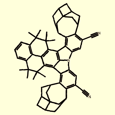 CC1(C)c2cccc3c2-c2c(c4c5c6c(c(C#N)cc5n5c7cc(C#N)c8c(c7c(c2C(C)(C)C3(C)C)c45)C2CC3CC4CC8CC43C2)C2CC3CC4CC6CC34C2)C1(C)C